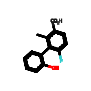 Cc1c(C(=O)O)ccc(F)c1-c1ccccc1O